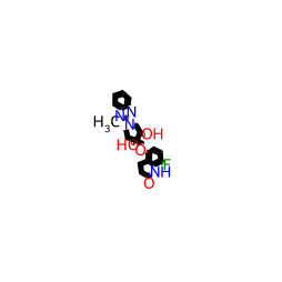 Cn1c(N2CC[C@@](O)(COc3ccc(F)c4c3CCC(=O)N4)[C@H](O)C2)nc2ccccc21